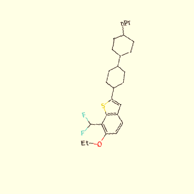 CCCC1CCC(C2CCC(c3cc4ccc(OCC)c(C(F)F)c4s3)CC2)CC1